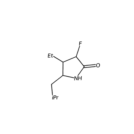 CCC1C(CC(C)C)NC(=O)C1F